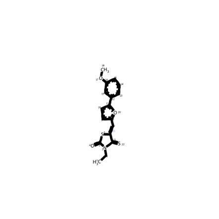 CCN1C(=O)S/C(=C\c2ccc(-c3cccc(OC)c3)o2)C1=S